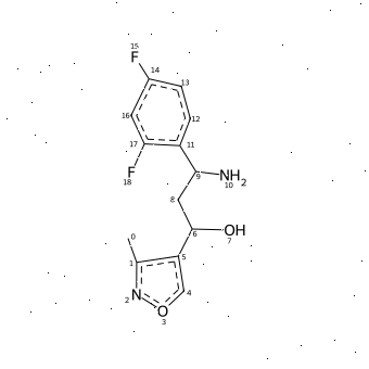 Cc1nocc1C(O)CC(N)c1ccc(F)cc1F